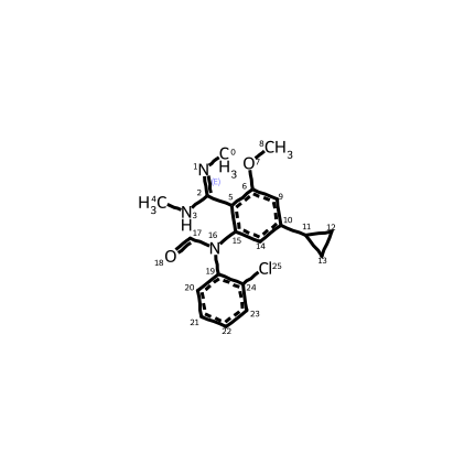 C/N=C(/NC)c1c(OC)cc(C2CC2)cc1N(C=O)c1ccccc1Cl